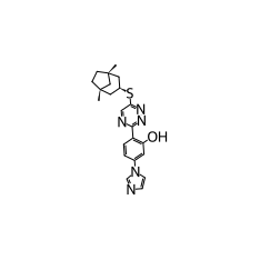 C[C@]12CC[C@](C)(C[C@@H](Sc3cnc(-c4ccc(-n5ccnc5)cc4O)nn3)C1)C2